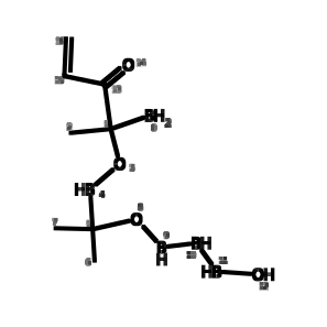 BC(C)(OBC(C)(C)OBBBO)C(=O)C=C